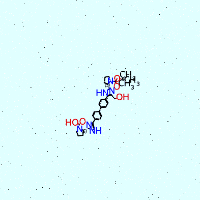 CC(C)(C)OC(=O)N1CCC[C@H]1c1nc(CO)c(-c2ccc(-c3ccc(-c4c[nH]c([C@@H]5CCCN5C(=O)O)n4)cc3)cc2)[nH]1